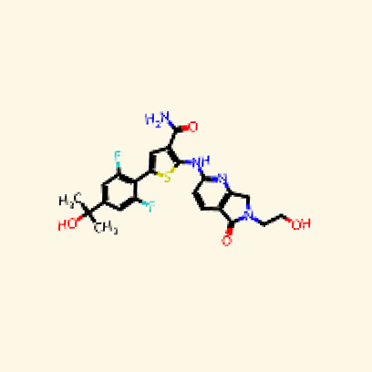 CC(C)(O)c1cc(F)c(-c2cc(C(N)=O)c(Nc3ccc4c(n3)CN(CCO)C4=O)s2)c(F)c1